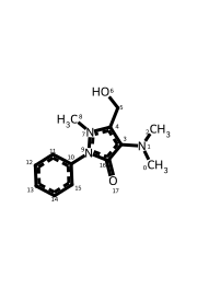 CN(C)c1c(CO)n(C)n(-c2ccccc2)c1=O